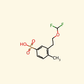 Cc1ccc(S(=O)(=O)O)cc1CCOC(F)F